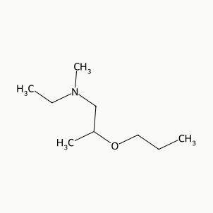 CCCOC(C)CN(C)CC